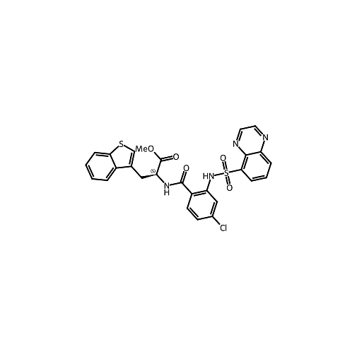 COC(=O)[C@H](Cc1csc2ccccc12)NC(=O)c1ccc(Cl)cc1NS(=O)(=O)c1cccc2nccnc12